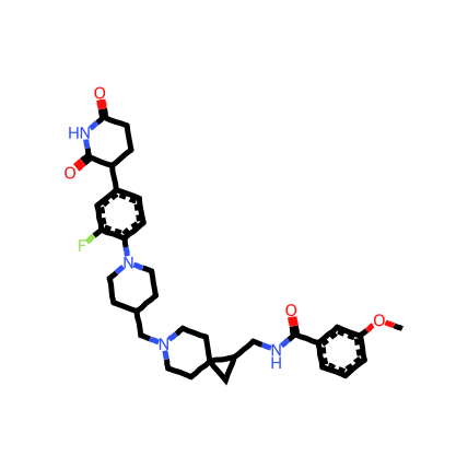 COc1cccc(C(=O)NCC2CC23CCN(CC2CCN(c4ccc(C5CCC(=O)NC5=O)cc4F)CC2)CC3)c1